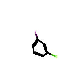 Fc1[c]ccc(I)c1